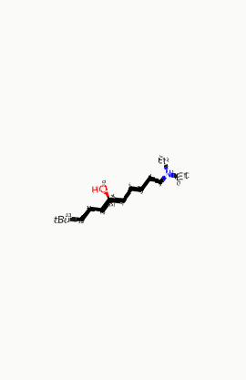 CCN(CC)CCCCC[C@H](O)CCCC(C)(C)C